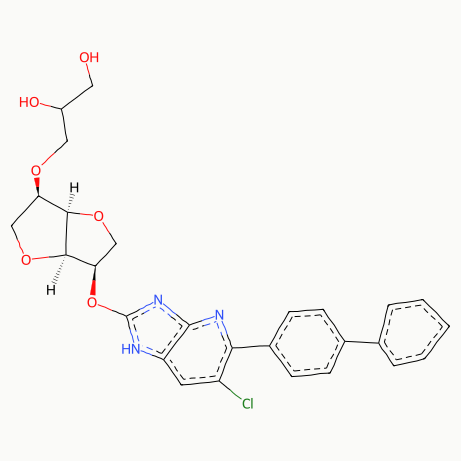 OCC(O)CO[C@@H]1CO[C@H]2[C@@H]1OC[C@H]2Oc1nc2nc(-c3ccc(-c4ccccc4)cc3)c(Cl)cc2[nH]1